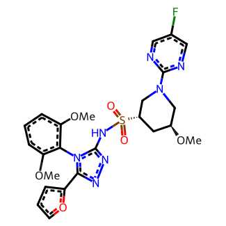 COc1cccc(OC)c1-n1c(NS(=O)(=O)[C@H]2C[C@H](OC)CN(c3ncc(F)cn3)C2)nnc1-c1ccco1